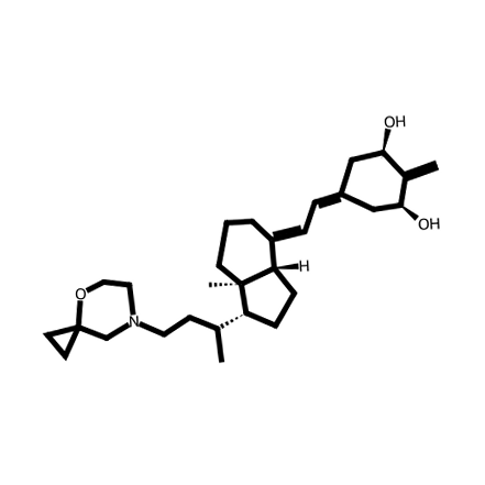 C=C1[C@H](O)C/C(=C/C=C2CCC[C@]3(C)[C@@H](C(C)CCN4CCOC5(CC5)C4)CC[C@@H]23)C[C@@H]1O